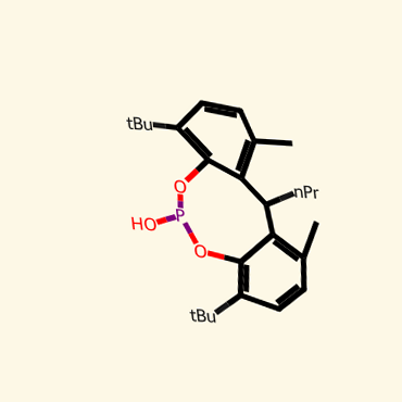 CCCC1c2c(C)ccc(C(C)(C)C)c2OP(O)Oc2c(C(C)(C)C)ccc(C)c21